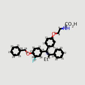 CC/C(=C(/c1ccc(OCCNC(=O)O)cc1)c1ccc(OCc2ccccc2)c(F)c1)c1ccccc1